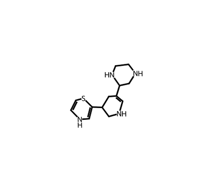 C1=CSC(C2CNC=C(C3CNCCN3)C2)=CN1